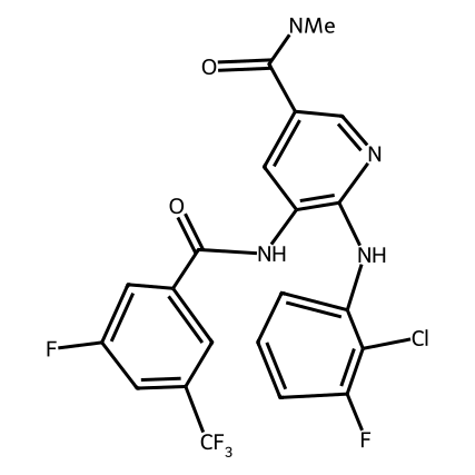 CNC(=O)c1cnc(Nc2cccc(F)c2Cl)c(NC(=O)c2cc(F)cc(C(F)(F)F)c2)c1